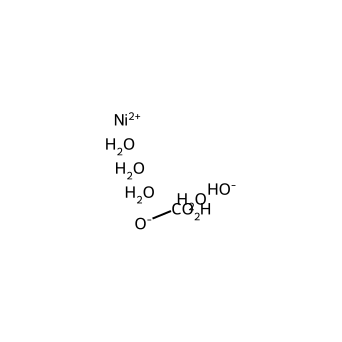 O.O.O.O.O=C([O-])O.[Ni+2].[OH-]